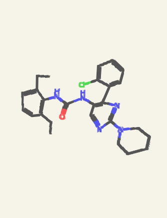 CCc1cccc(CC)c1NC(=O)Nc1cnc(N2CCCCC2)nc1-c1ccccc1Cl